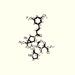 CC1(C)[C@@H]2[C@@H](C(=O)NN(C[C@@H]3CCNC3=O)C(=O)[C@H](F)Cl)N(C(=O)/C=C/c3cc(C(F)(F)F)cc(C(F)(F)F)c3)C[C@@H]21